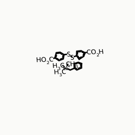 C[N+](C)(C)Cc1ccccc1.O=C(O)c1ccc(SSc2ccc(C(=O)O)cc2)cc1